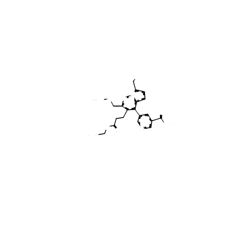 CCOC(=O)CCc1c(COC)nn2c(CC)ccc2c1-c1cncc(C(C)=O)c1